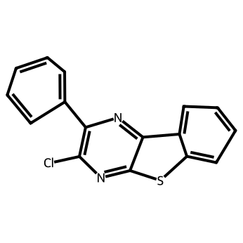 Clc1nc2sc3ccccc3c2nc1-c1ccccc1